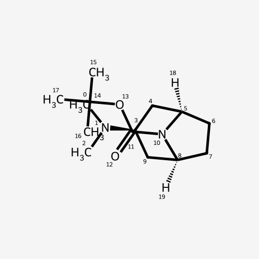 CN(C)[C@H]1C[C@H]2CC[C@@H](C1)N2C(=O)OC(C)(C)C